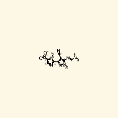 CN(C)/C=N/c1c(C#N)c(-c2ncc([N+](=O)[O-])n2C)nn1C